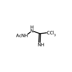 CC(=O)NNC(=N)C(Cl)(Cl)Cl